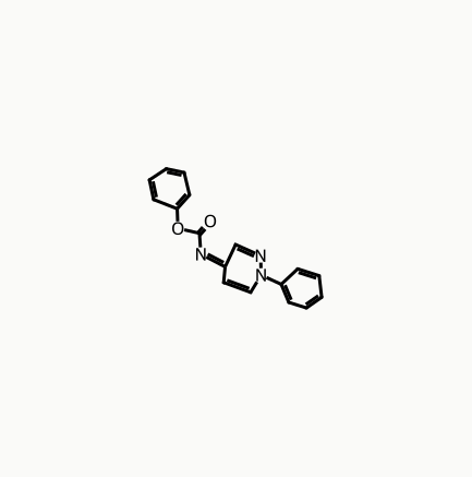 O=C(N=c1ccn(-c2ccccc2)nc1)Oc1ccccc1